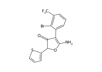 NC1=C(c2cccc(C(F)(F)F)c2Br)C(=O)C(c2cccs2)O1